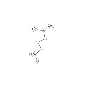 CN(C)CCC[SiH2]Cl